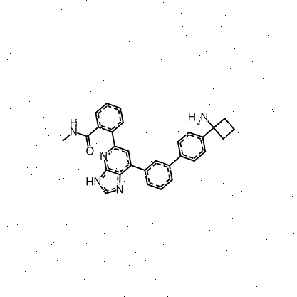 CNC(=O)c1ccccc1-c1cc(-c2cccc(-c3ccc(C4(N)CCC4)cc3)c2)c2nc[nH]c2n1